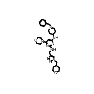 c1ccc(CN2CCC(Nc3cc(N4CCOCC4)nc(NCc4cn(CC5CCOCC5)nn4)n3)CC2)cc1